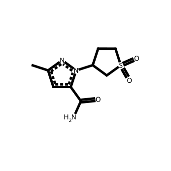 Cc1cc(C(N)=O)n(C2CCS(=O)(=O)C2)n1